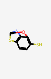 Sc1ccc2sc3nc2c1o3